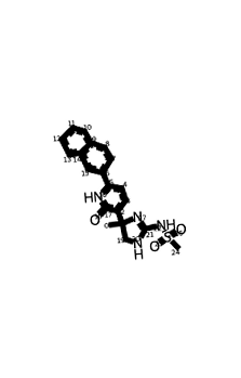 CC1(c2ccc(-c3ccc4ccccc4c3)[nH]c2=O)CNC(NS(C)(=O)=O)=N1